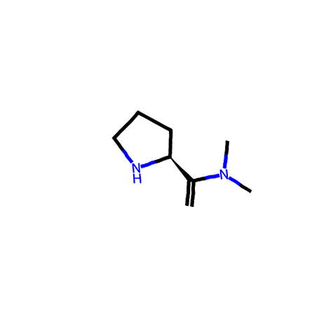 C=C([C@@H]1CCCN1)N(C)C